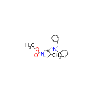 C=C1CCN(C(=O)OCC)C[C@@H]1CN(Cc1ccccc1)Cc1ccccc1